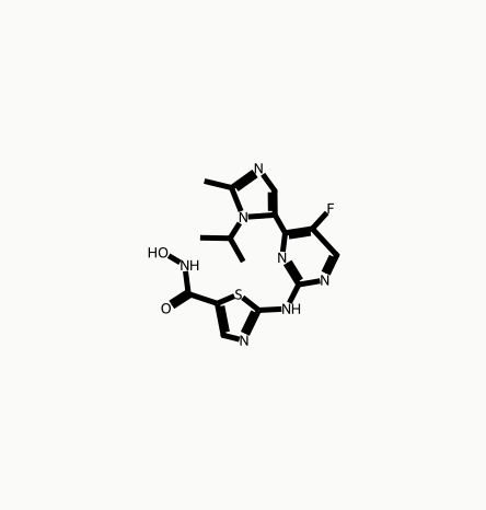 Cc1ncc(-c2nc(Nc3ncc(C(=O)NO)s3)ncc2F)n1C(C)C